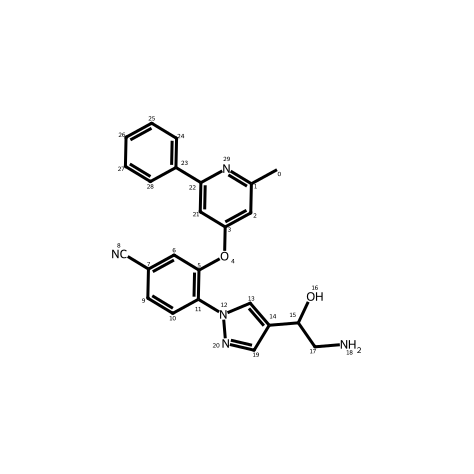 Cc1cc(Oc2cc(C#N)ccc2-n2cc(C(O)CN)cn2)cc(-c2ccccc2)n1